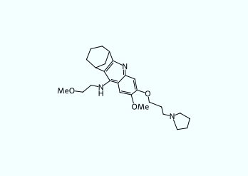 COCCNc1c2c(nc3cc(OCCCN4CCCC4)c(OC)cc13)C1CCCC2C1